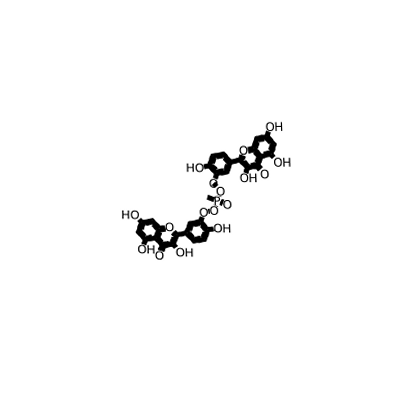 CP(=O)(OOc1cc(-c2oc3cc(O)cc(O)c3c(=O)c2O)ccc1O)OOc1cc(-c2oc3cc(O)cc(O)c3c(=O)c2O)ccc1O